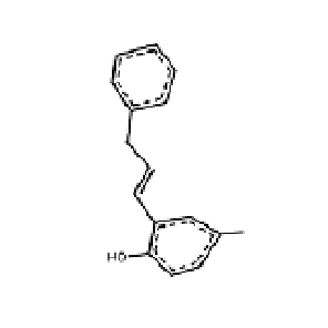 Cc1ccc(O)c(C=CCc2ccccc2)c1